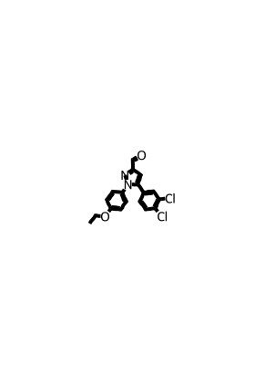 CCOc1ccc(-n2nc(C=O)cc2-c2ccc(Cl)c(Cl)c2)cc1